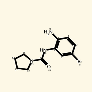 Nc1ccc(Br)cc1NC(=O)N1CCCC1